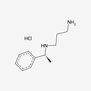 C[C@H](NCCCN)c1ccccc1.Cl